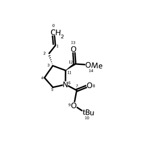 C=CC[C@H]1CCN(C(=O)OC(C)(C)C)[C@@H]1C(=O)OC